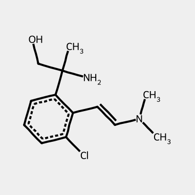 CN(C)C=Cc1c(Cl)cccc1C(C)(N)CO